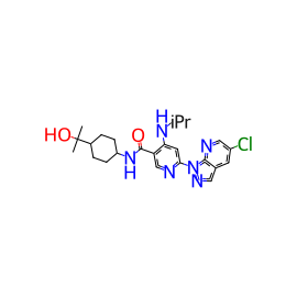 CC(C)Nc1cc(-n2ncc3cc(Cl)cnc32)ncc1C(=O)NC1CCC(C(C)(C)O)CC1